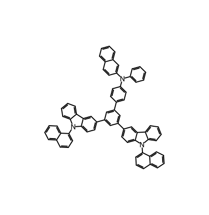 c1ccc(N(c2ccc(-c3cc(-c4ccc5c(c4)c4ccccc4n5-c4cccc5ccccc45)cc(-c4ccc5c(c4)c4ccccc4n5-c4cccc5ccccc45)c3)cc2)c2ccc3ccccc3c2)cc1